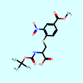 COC(=O)c1ccc(SCC(NC(=O)OC(C)(C)C)C(=O)O)c([N+](=O)[O-])c1